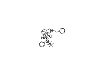 CC(C)(C)[Si](C)(C)OCCC1C2C=NC3(C(=O)NCc4ccccc4)C(C2)CN(CCc2ccccc2)C13